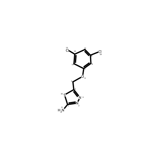 Nc1nnc(COc2cc(Cl)cc(Cl)c2)s1